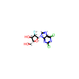 OC[C@H]1O[C@@H](n2cnc3c(Cl)nc(Cl)nc32)C(F)C1O